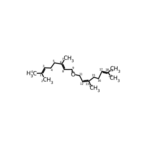 CC(C)=CCCC(C)=CCOCC=C(C)CCC=C(C)C